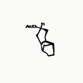 CCC1(OC(C)=O)CC2C3CCC(C3)C2C1